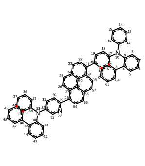 c1ccc(-c2ccccc2N(c2ccccc2)c2ccc(-c3ccc4ccc5c(-c6ccc(N(c7ccccc7)c7ccccc7-c7ccccc7)cn6)ccc6ccc3c4c65)nc2)cc1